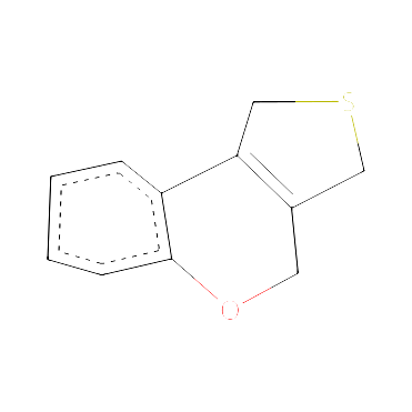 c1ccc2c(c1)OCC1=C2CSC1